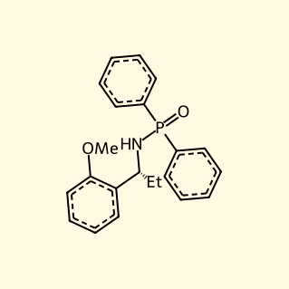 CC[C@@H](NP(=O)(c1ccccc1)c1ccccc1)c1ccccc1OC